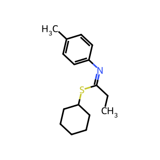 CCC(=Nc1ccc(C)cc1)SC1CCCCC1